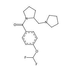 O=C(c1ccc(OC(F)F)cc1)N1CCCC1CN1CCCC1